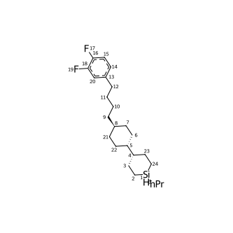 CCC[Si@H]1CC[C@H]([C@H]2CC[C@H](CCCCc3ccc(F)c(F)c3)CC2)CC1